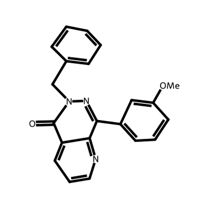 COc1cccc(-c2nn(Cc3ccccc3)c(=O)c3cccnc23)c1